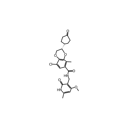 COc1cc(C)[nH]c(=O)c1CNC(=O)c1cc(Cl)c2c(c1C)O[C@@H](C1CCC(=O)CC1)CO2